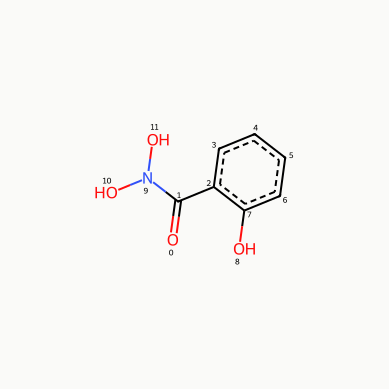 O=C(c1ccccc1O)N(O)O